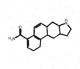 NC(=O)C1=CCCC2=C1C=CC1CC3NCCC3CC21